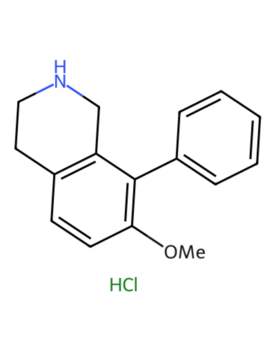 COc1ccc2c(c1-c1ccccc1)CNCC2.Cl